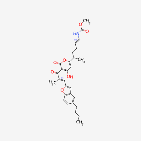 CCCCc1ccc2oc(/C=C(\C)C(=O)c3c(O)cc(C(C)CC/C=C/NC(=O)OC)oc3=O)cc2c1